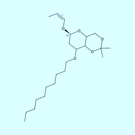 C/C=C\O[C@@H]1CC(OCCCCCCCCCC)C2OC(C)(C)OCC2O1